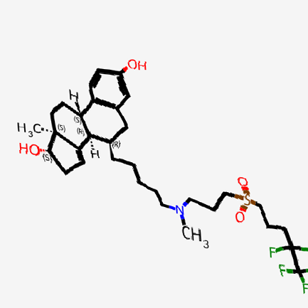 CN(CCCCC[C@@H]1Cc2cc(O)ccc2[C@H]2CC[C@@]3(C)C(=CC[C@@H]3O)[C@H]12)CCCS(=O)(=O)CCCC(F)(F)C(F)(F)F